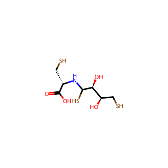 O=C(O)[C@H](CS)NC(S)[C@@H](O)[C@H](O)CS